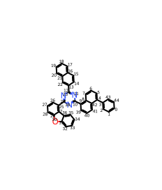 c1ccc(-c2cccc3c(-c4nc(-c5ccc6ccccc6c5)nc(-c5cccc6oc7ccccc7c56)n4)cccc23)cc1